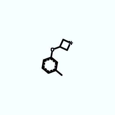 Cc1cccc(OC2C[N]C2)c1